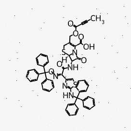 CC#CC(=O)OCC1=C(C(=O)O)N2C(=O)[C@@H](NC(=O)/C(=N\OC(c3ccccc3)(c3ccccc3)c3ccccc3)c3csc(NC(c4ccccc4)(c4ccccc4)c4ccccc4)n3)[C@H]2SC1